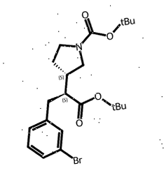 CC(C)(C)OC(=O)[C@@H](Cc1cccc(Br)c1)[C@@H]1CCN(C(=O)OC(C)(C)C)C1